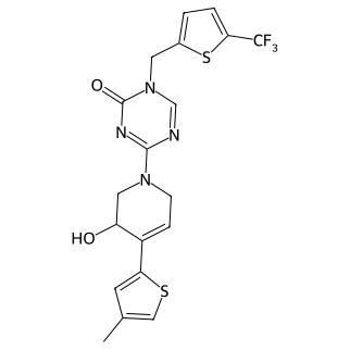 Cc1csc(C2=CCN(c3ncn(Cc4ccc(C(F)(F)F)s4)c(=O)n3)CC2O)c1